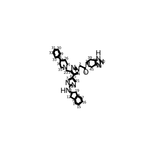 O=C(Cn1cc(-c2cnc(NC3Cc4ccccc4C3)nc2)c(CN2CC=C(c3ccccc3)CC2)n1)N1CCc2[nH]nnc2C1